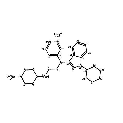 Cl.NC1CCC(NCCC(c2ccncc2)c2cn(C3CCCCC3)c3ccccc23)CC1